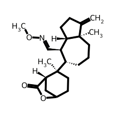 C=C1CC[C@H]2[C@H](/C=N/OC)[C@@H]([C@@]3(C)CCC4C[C@@H]3C(=O)O4)CCC[C@]12C